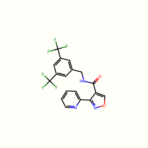 O=C(NCc1cc(C(F)(F)F)cc(C(F)(F)F)c1)c1conc1-c1ccccn1